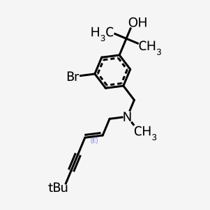 CN(C/C=C/C#CC(C)(C)C)Cc1cc(Br)cc(C(C)(C)O)c1